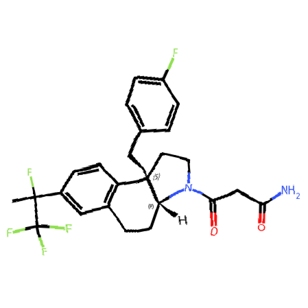 CC(F)(c1ccc2c(c1)CC[C@H]1N(C(=O)CC(N)=O)CC[C@@]21Cc1ccc(F)cc1)C(F)(F)F